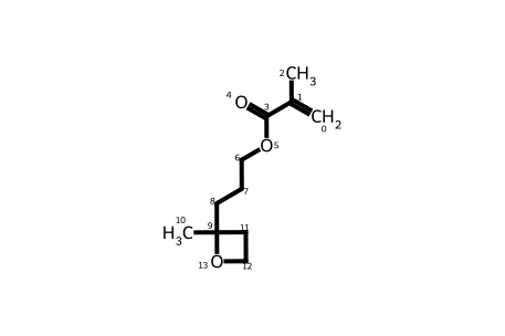 C=C(C)C(=O)OCCCC1(C)CCO1